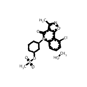 CO.Cc1noc2c1c(=O)n(C1CCCC(OS(C)(=O)=O)C1)c1cccc(Cl)c21